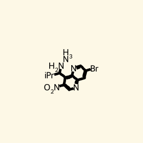 CC(C)C(N)c1c([N+](=O)[O-])cnc2cc(Br)cnc12.N